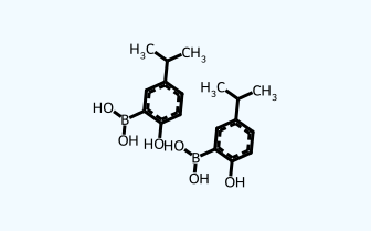 CC(C)c1ccc(O)c(B(O)O)c1.CC(C)c1ccc(O)c(B(O)O)c1